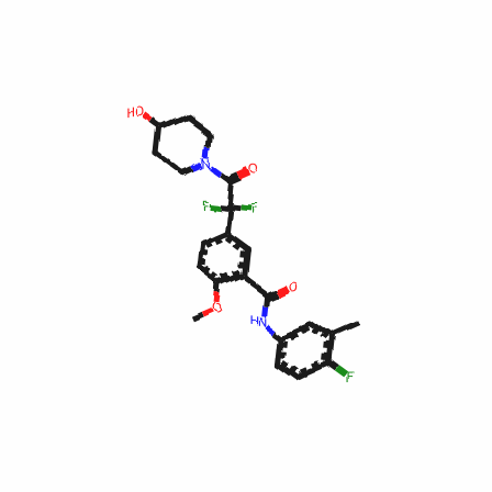 COc1ccc(C(F)(F)C(=O)N2CCC(O)CC2)cc1C(=O)Nc1ccc(F)c(C)c1